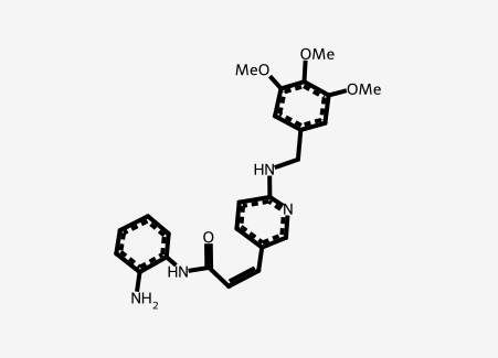 COc1cc(CNc2ccc(/C=C\C(=O)Nc3ccccc3N)cn2)cc(OC)c1OC